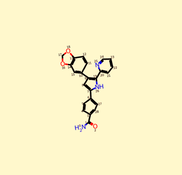 NC(=O)c1ccc(-c2cc(-c3ccc4c(c3)OCO4)c(-c3ccccn3)[nH]2)cc1